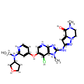 CN1CCn2nc(Nc3nc4ncc(Oc5ccnc(N(C(=O)O)C6CCOC6)c5)c(Cl)c4n3C)cc2C1=O